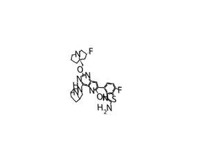 Nc1nc2c(-c3cc4nc(OC[C@@]56CCCN5C[C@H](F)C6)nc(N5CC6CCC(C5)N6)c4nc3O)ccc(F)c2s1